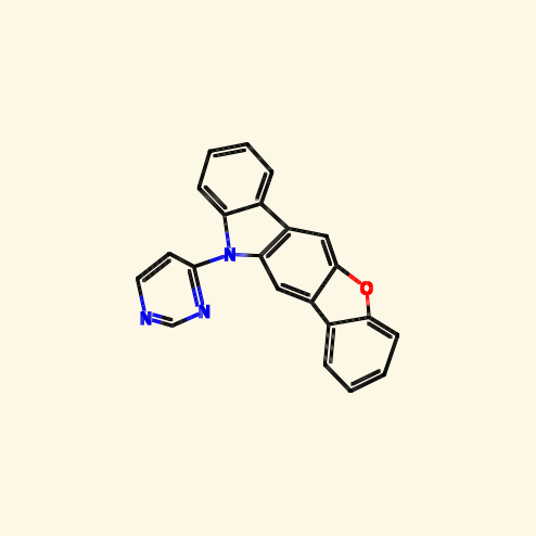 c1ccc2c(c1)oc1cc3c4ccccc4n(-c4ccncn4)c3cc12